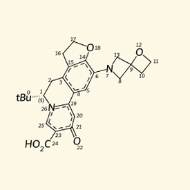 CC(C)(C)[C@@H]1Cc2c(cc(N3CC4(CCO4)C3)c3c2CCO3)-c2cc(=O)c(C(=O)O)cn21